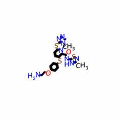 Cc1nsc(NC(=O)c2nc(Sc3nncn3C)ccc2Sc2ccc(OCCN)cc2)n1